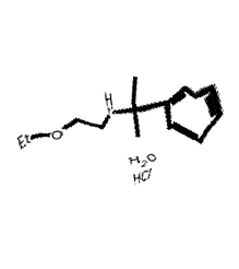 CCOCCNC(C)(C)c1ccccc1.Cl.O